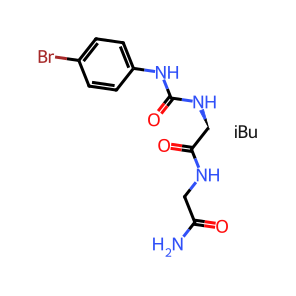 CC[C@H](C)[C@H](NC(=O)Nc1ccc(Br)cc1)C(=O)NCC(N)=O